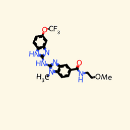 COCCNC(=O)c1ccc2c(c1)nc(Nc1nc3cc(OC(F)(F)F)ccc3[nH]1)n2C